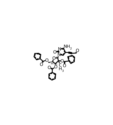 C[C@@]1(OC(=O)c2ccccc2)[C@H](OC(=O)c2ccccc2)[C@@H](COC(=O)c2ccccc2)O[C@H]1n1cc(C#CC=O)c(N)nc1=O